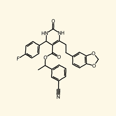 CC(OC(=O)C1=C(CCc2ccc3c(c2)OCO3)NC(=O)NC1c1ccc(F)cc1)c1cccc(C#N)c1